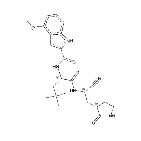 COc1cccc2[nH]c(C(=O)N[C@@H](CC(C)(C)C)C(=O)N[C@H](C#N)C[C@@H]3CCNC3=O)cc12